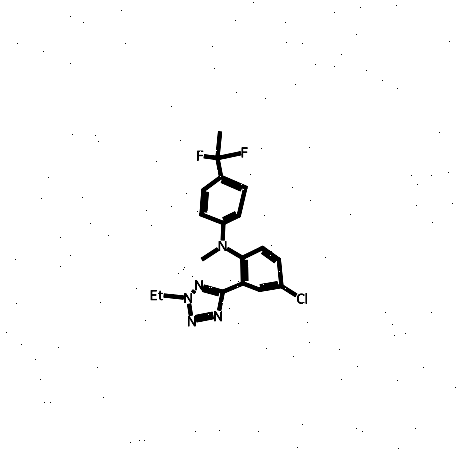 CCn1nnc(-c2cc(Cl)ccc2N(C)c2ccc(C(C)(F)F)cc2)n1